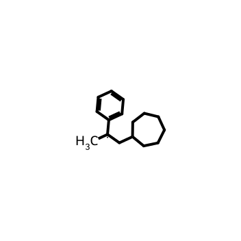 C[C](CC1CCCCCC1)c1ccccc1